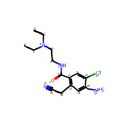 CCN(CC)CCNC(=O)c1cc(Cl)c(N)cc1CC#N